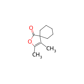 CC1=C(C)C2(CCCCC2)C(=O)O1